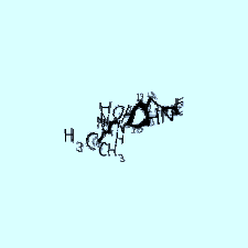 CC(C)c1cc(C(O)Nc2ccc(C[C@@H]3NC[C@@H]3F)cc2)[nH]n1